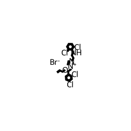 C=CCOC(C[n+]1ccn(CCNc2c(Cl)cccc2Cl)c1)c1ccc(Cl)cc1Cl.[Br-]